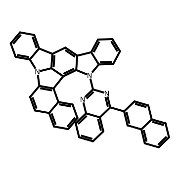 c1ccc2cc(-c3nc(-n4c5ccccc5c5cc6c7ccccc7n7c8ccc9ccccc9c8c(c54)c67)nc4ccccc34)ccc2c1